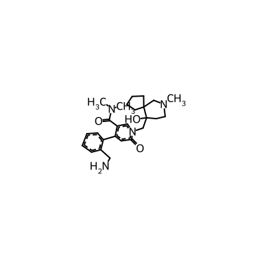 CN1CCC(O)(Cn2cc(C(=O)N(C)C)c(-c3ccccc3CN)cc2=O)C2(CCCC2)C1